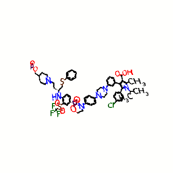 Cc1c(C(=O)O)c(-c2cccc(N3CCN(c4ccc(N5CCO[P@]5(=O)c5ccc(N[C@H](CCN6CCC(COP=O)CC6)CSc6ccccc6)c(S(=O)(=O)C(F)(F)F)c5)cc4)CC3)c2)c(-c2ccc(Cl)cc2)n1C(C)C